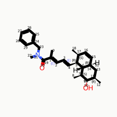 C/C(=C\C=C\[C@@H]1[C@H]2[C@H](C)[C@@H](O)[C@H](C)C[C@@H]2C=C[C@@H]1C)C(=O)N(C)Cc1ccccc1